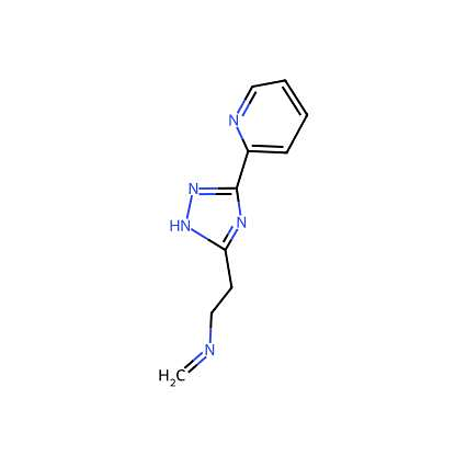 C=NCCc1nc(-c2ccccn2)n[nH]1